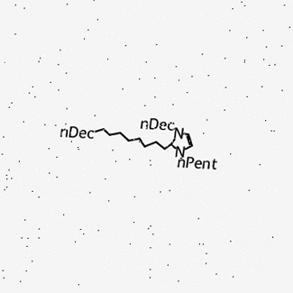 CCCCCCCCCCCCCCCCCCC1N(CCCCC)C=CN1CCCCCCCCCC